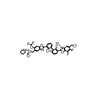 Cc1c(-c2nc3cc(COC(=O)[C@@H]4CCCN4)c(OC(F)F)cc3o2)cccc1-c1cccc(-c2nc3cc(CCl)c(F)c(F)c3o2)c1C